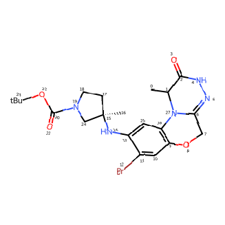 CC1C(=O)NN=C2COc3cc(Br)c(N[C@]4(C)CCN(C(=O)OC(C)(C)C)C4)cc3N21